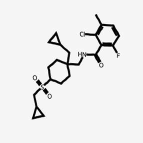 Cc1ccc(F)c(C(=O)NCC2(CC3CC3)CCC(S(=O)(=O)CC3CC3)CC2)c1Cl